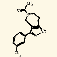 CC(=O)N1CCc2[nH]nc(-c3cccc(C)c3)c2C1